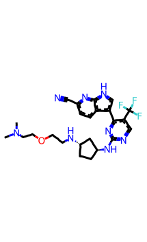 CN(C)CCOCCN[C@H]1CC[C@H](Nc2ncc(C(F)(F)F)c(-c3c[nH]c4nc(C#N)ccc34)n2)C1